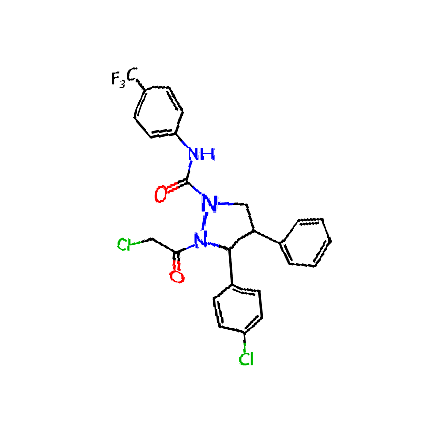 O=C(Nc1ccc(C(F)(F)F)cc1)N1CC(c2ccccc2)C(c2ccc(Cl)cc2)N1C(=O)CCl